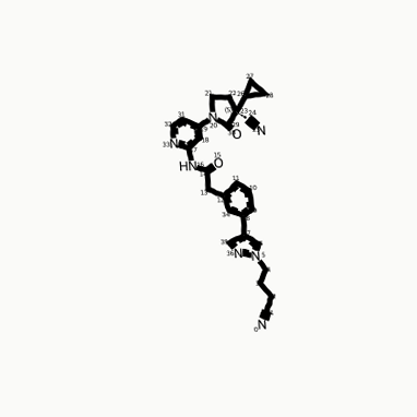 N#CCCCn1cc(-c2cccc(CC(=O)Nc3cc(N4CC[C@@](C#N)(C5CC5)C4=O)ccn3)c2)cn1